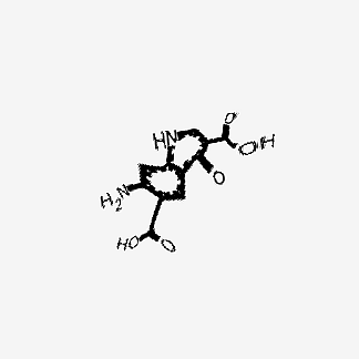 Nc1cc2[nH]cc(C(=O)O)c(=O)c2cc1C(=O)O